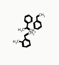 C=C(C)c1ccccc1.C=Cc1ccccc1.C=Cc1ccccc1C